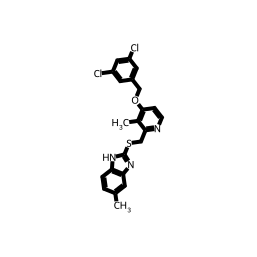 Cc1ccc2[nH]c(SCc3nccc(OCc4cc(Cl)cc(Cl)c4)c3C)nc2c1